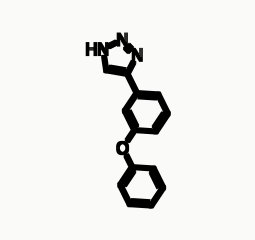 c1ccc(Oc2cccc(-c3c[nH]nn3)c2)cc1